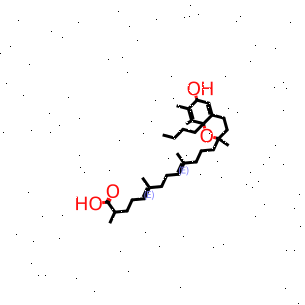 CCCCC12OC(C)(CCC/C(C)=C/CC/C(C)=C/CCC(C)C(=O)O)CCC1=CC(O)C(C)=C2C